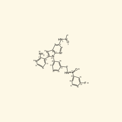 CC(=O)Nc1cnc2c(c1)nc(-c1cccnc1N)n2-c1cccc(CNC(=O)c2cccc(F)c2)c1